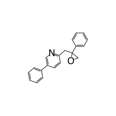 c1ccc(-c2ccc(CC3(c4ccccc4)CO3)nc2)cc1